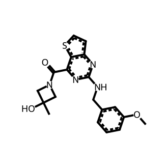 COc1cccc(CNc2nc(C(=O)N3CC(C)(O)C3)c3sccc3n2)c1